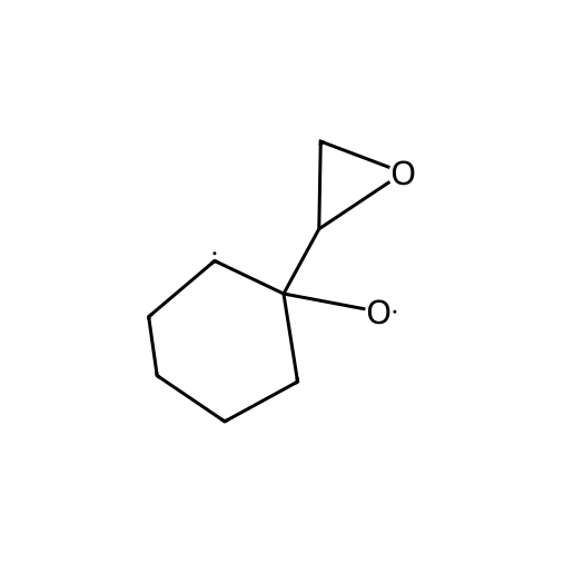 [O]C1(C2CO2)[CH]CCCC1